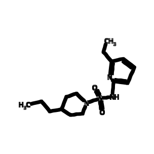 CCCC1CCN(S(=O)(=O)Nc2cccc(CC)n2)CC1